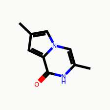 Cc1cc2c(=O)[nH]c(C)cn2c1